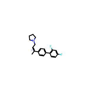 C/C(=C/CN1CCCC1)c1ccc(-c2ccc(F)cc2F)cc1